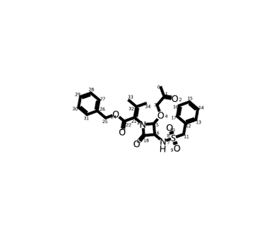 CC(=O)COC1C(NS(=O)(=O)Cc2ccccc2)C(=O)N1C(C(=O)OCc1ccccc1)=C(C)C